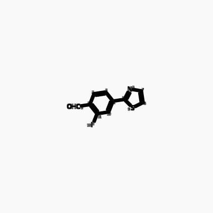 O=Cc1ccc(-c2nccs2)cc1F